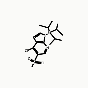 CC(C)[Si](C(C)C)(C(C)C)n1ccc2c(Cl)c(S(C)(=O)=O)cnc21